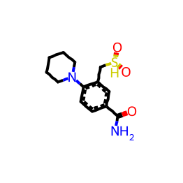 NC(=O)c1ccc(N2CCCCC2)c(C[SH](=O)=O)c1